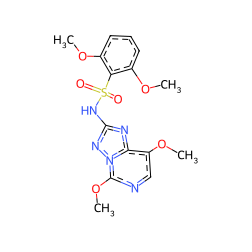 COc1cccc(OC)c1S(=O)(=O)Nc1nc2c(OC)cnc(OC)n2n1